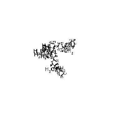 CCC1=Cc2c(-c3ccc([N+](C)(C)Cc4ccccc4)cc3)cccc2[CH]1[Zr]([Cl])([Cl])([CH]1C(CC)=Cc2c(-c3ccc([N+](C)(C)Cc4ccccc4)cc3)cccc21)[SiH](C)C